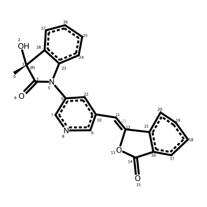 C[C@]1(O)C(=O)N(c2cncc(/C=C3\OC(=O)c4ccccc43)c2)c2ccccc21